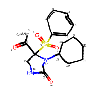 COC(=O)C1(S(=O)(=O)c2ccccc2)CNC(=O)N1C1CCCCC1